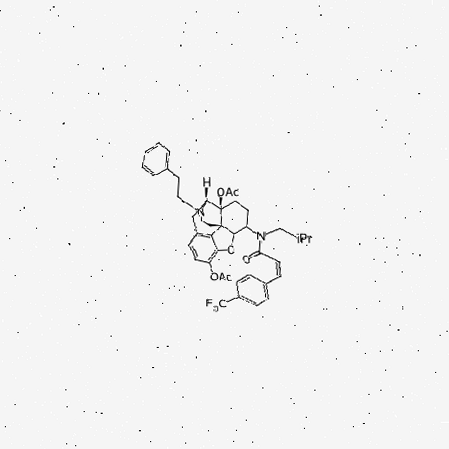 CC(=O)Oc1ccc2c3c1OC1C(N(CC(C)C)C(=O)/C=C\c4ccc(C(F)(F)F)cc4)CC[C@@]4(OC(C)=O)[C@@H](C2)N(CCc2ccccc2)CC[C@]314